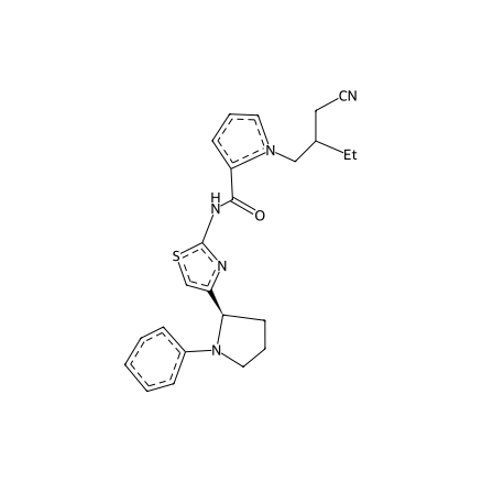 CCC(CC#N)Cn1cccc1C(=O)Nc1nc([C@H]2CCCN2c2ccccc2)cs1